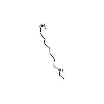 CCNCCCCCCCN